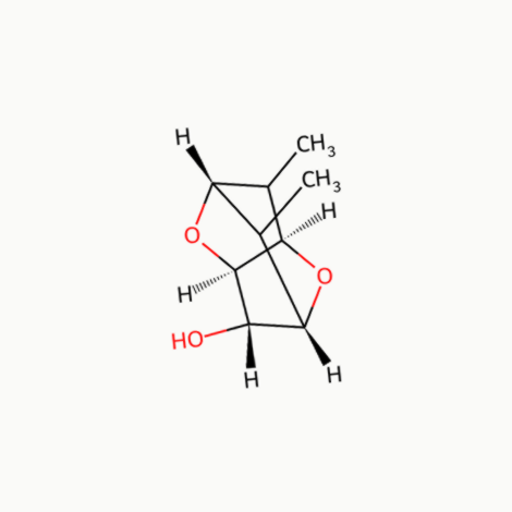 CC1[C@H]2O[C@@H]3[C@@H](O)[C@@H](O[C@H]13)C2C